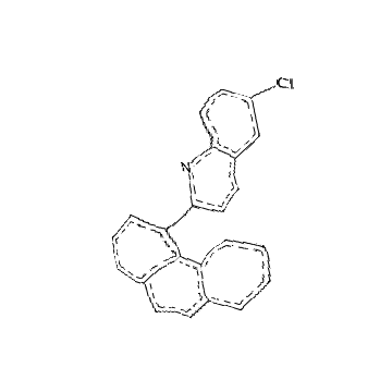 Clc1ccc2nc(-c3cccc4ccc5ccccc5c34)ccc2c1